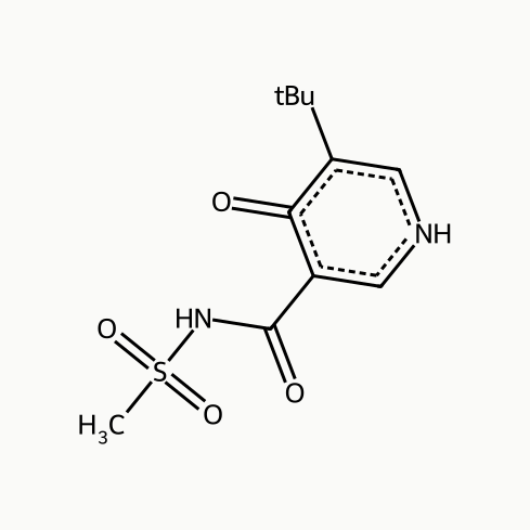 CC(C)(C)c1c[nH]cc(C(=O)NS(C)(=O)=O)c1=O